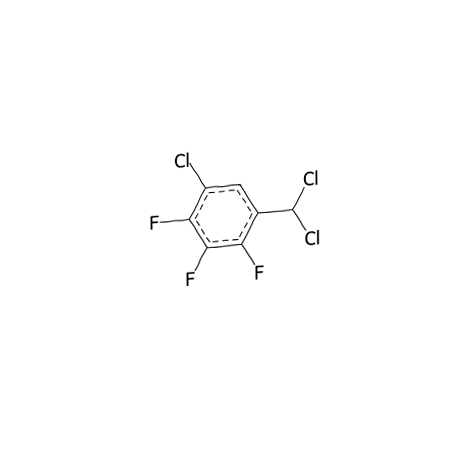 Fc1c(Cl)cc(C(Cl)Cl)c(F)c1F